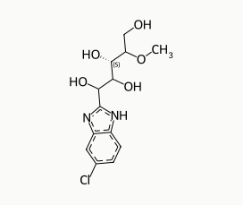 COC(CO)[C@@H](O)C(O)C(O)c1nc2cc(Cl)ccc2[nH]1